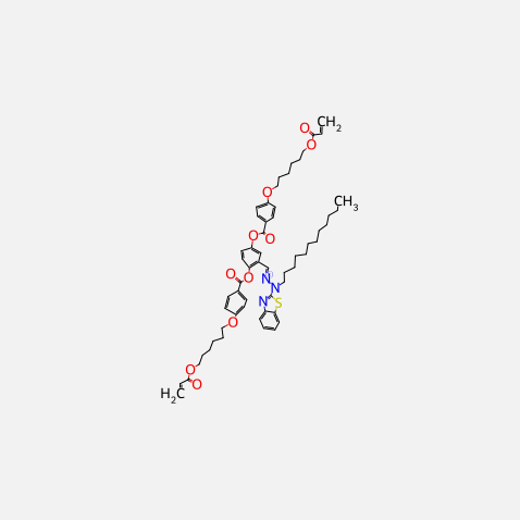 C=CC(=O)OCCCCCCOc1ccc(C(=O)Oc2ccc(OC(=O)c3ccc(OCCCCCCOC(=O)C=C)cc3)c(/C=N/N(CCCCCCCCCCCC)c3nc4ccccc4s3)c2)cc1